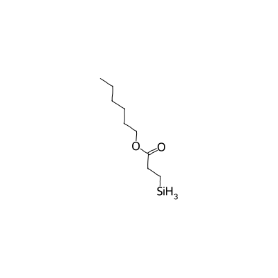 CCCCCCOC(=O)CC[SiH3]